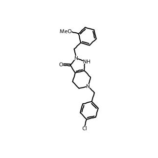 COc1ccccc1Cn1[nH]c2c(c1=O)CCN(Cc1ccc(Cl)cc1)C2